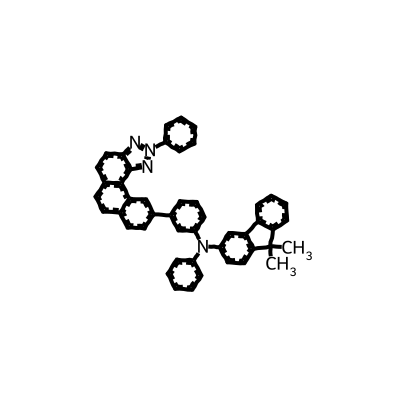 CC1(C)c2ccccc2-c2cc(N(c3ccccc3)c3cccc(-c4ccc5ccc6ccc7nn(-c8ccccc8)nc7c6c5c4)c3)ccc21